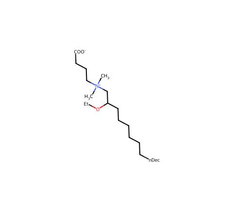 CCCCCCCCCCCCCCCCC(C[N+](C)(C)CCCC(=O)[O-])OCC